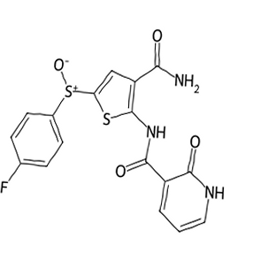 NC(=O)c1cc([S+]([O-])c2ccc(F)cc2)sc1NC(=O)c1ccc[nH]c1=O